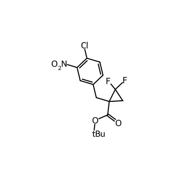 CC(C)(C)OC(=O)C1(Cc2ccc(Cl)c([N+](=O)[O-])c2)CC1(F)F